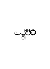 N[C@@H](Cc1ccccc1)[C@@H](O)C[C]=O